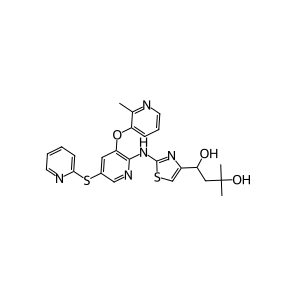 Cc1ncccc1Oc1cc(Sc2ccccn2)cnc1Nc1nc(C(O)CC(C)(C)O)cs1